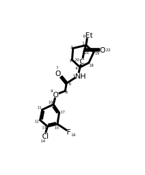 CCC12CCC(NC(=O)COc3ccc(Cl)c(F)c3)(CC1)CC2=O